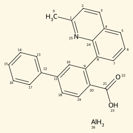 Cc1ccc2cccc(-c3cc(-c4ccccc4)ccc3C(=O)O)c2n1.[AlH3]